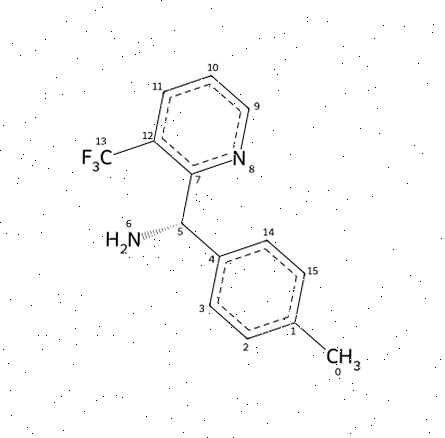 Cc1ccc([C@H](N)c2ncccc2C(F)(F)F)cc1